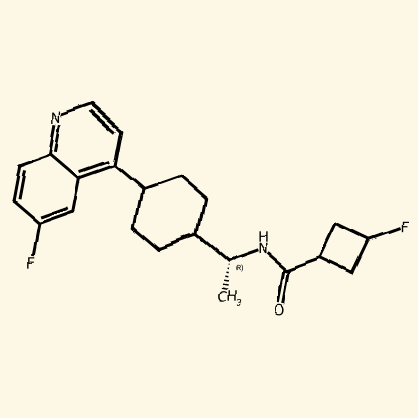 C[C@@H](NC(=O)C1CC(F)C1)C1CCC(c2ccnc3ccc(F)cc23)CC1